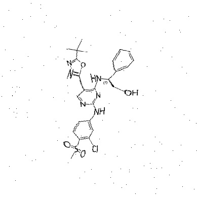 CC(C)(C)c1nnc(-c2cnc(Nc3ccc(S(C)(=O)=O)c(Cl)c3)nc2N[C@H](CO)c2ccccc2)o1